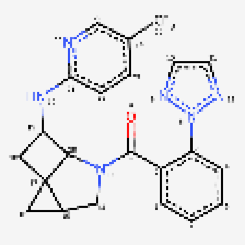 O=C(c1ccccc1-n1nccn1)N1CC2CC23CC(Nc2ccc(C(F)(F)F)cn2)C13